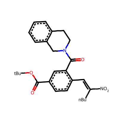 CCCC/C(=C\c1ccc(C(=O)OC(C)(C)C)cc1C(=O)N1CCc2ccccc2C1)[N+](=O)[O-]